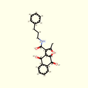 Cc1oc2c(c1C(=O)NCCCc1ccccc1)C(=O)c1ccccc1C2=O